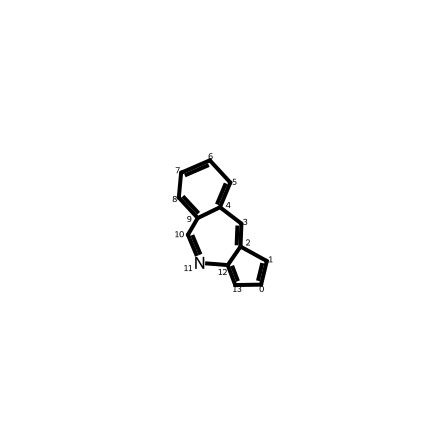 c1cc2cc3ccccc3cnc-2c1